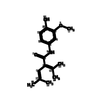 COc1cc(NC(=O)C(C=C(C)C)=C(C)C)ccc1O